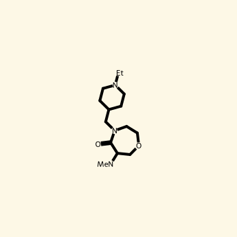 CCN1CCC(CN2CCOCC(NC)C2=O)CC1